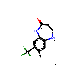 Cc1cc2c(cc1C(F)(F)F)NC(=O)CCN2